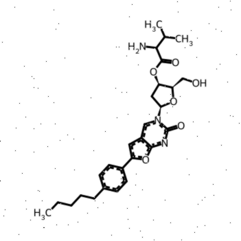 CCCCCc1ccc(-c2cc3cn([C@H]4C[C@@H](OC(=O)C(N)C(C)C)[C@@H](CO)O4)c(=O)nc3o2)cc1